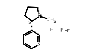 CN1CCC[C@H]1c1cccnc1.I.[H+].[H+]